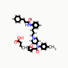 CCCC(=O)O.Cc1ccc(N(C(=O)c2ccco2)C2CCN(CCCc3ccccc3NC(=O)CCC3CCCCC3)CC2)cc1